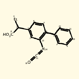 CCC(C(=O)O)c1ccc(-c2ccccc2)c(N=C=O)c1